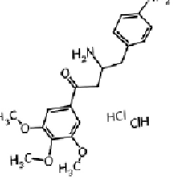 COc1cc(C(=O)CC(N)Cc2ccc(N)cc2)cc(OC)c1OC.Cl.Cl